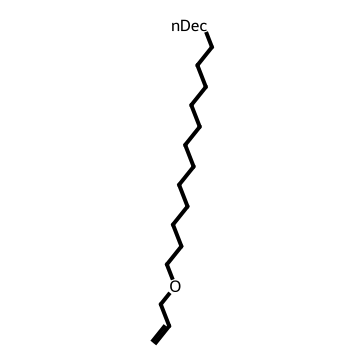 C=CCOCCCCCCCCCCCCCCCCCCCCCC